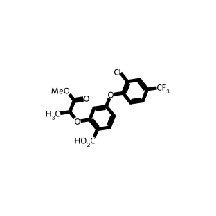 COC(=O)C(C)Oc1cc(Oc2ccc(C(F)(F)F)cc2Cl)ccc1C(=O)O